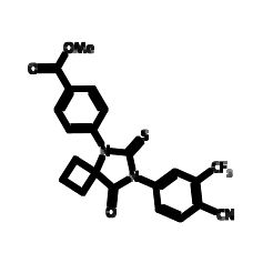 COC(=O)c1ccc(N2C(=S)N(c3ccc(C#N)c(C(F)(F)F)c3)C(=O)C23CCC3)cc1